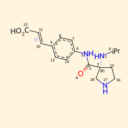 CC(C)N[C@]1(C(=O)Nc2ccc(/C=C/C(=O)O)cc2)CCNC1